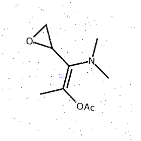 CC(=O)O/C(C)=C(/C1CO1)N(C)C